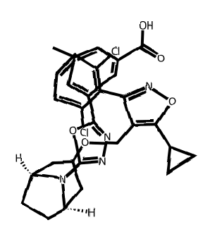 Cc1cc(C(=O)O)cc(-c2nnc(N3[C@@H]4CC[C@H]3CC(OCc3c(-c5c(Cl)cccc5Cl)noc3C3CC3)C4)o2)c1